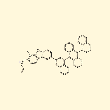 C=C/C=C\c1ccc2c(oc3ccc(-c4cc(-c5c6ccccc6c(-c6cccc7ccccc67)c6ccccc56)c5ccccc5c4)cc32)c1C